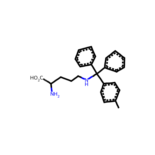 Cc1ccc(C(NCCCC(N)C(=O)O)(c2ccccc2)c2ccccc2)cc1